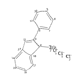 [Cl-].[Cl-].[Cl-].[Zr+3][CH]1C(c2ccccc2)=Cc2ccccc21